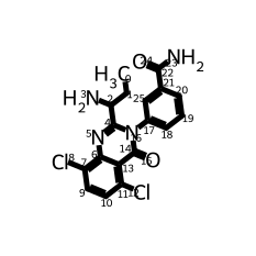 CCC(N)c1nc2c(Cl)ccc(Cl)c2c(=O)n1-c1cccc(C(N)=O)c1